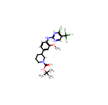 COc1cc(C2CCCN(C(=O)OC(C)(C)C)C2)ccc1Nc1ncc(C(F)(F)F)c(Cl)n1